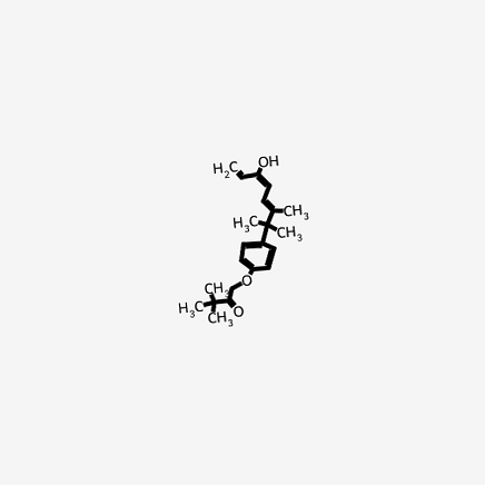 C=C/C(O)=C\C=C(/C)C(C)(C)c1ccc(OCC(=O)C(C)(C)C)cc1